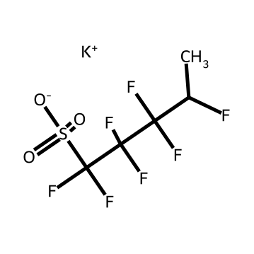 CC(F)C(F)(F)C(F)(F)C(F)(F)S(=O)(=O)[O-].[K+]